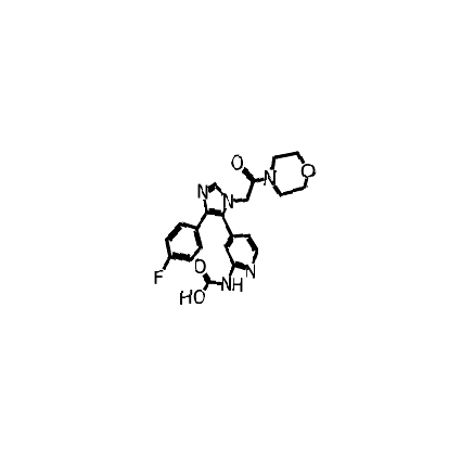 O=C(O)Nc1cc(-c2c(-c3ccc(F)cc3)ncn2CC(=O)N2CCOCC2)ccn1